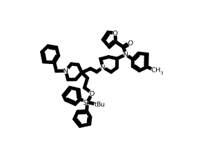 Cc1ccc(N(C(=O)c2ccco2)C2CCN(CCC3(CCO[Si](c4ccccc4)(c4ccccc4)C(C)(C)C)CCN(Cc4ccccc4)CC3)CC2)cc1